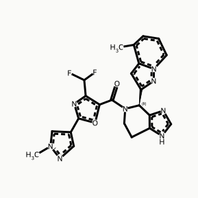 Cc1cccn2nc([C@H]3c4nc[nH]c4CCN3C(=O)c3oc(-c4cnn(C)c4)nc3C(F)F)cc12